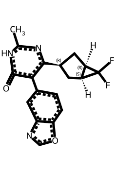 Cc1nc([C@H]2C[C@@H]3[C@H](C2)C3(F)F)c(-c2ccc3ocnc3c2)c(=O)[nH]1